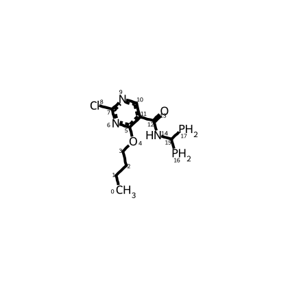 CCCCOc1nc(Cl)ncc1C(=O)NC(P)P